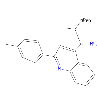 CCCCCC(C)C(N)c1cc(-c2ccc(C)cc2)nc2ccccc12